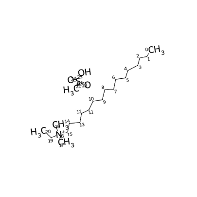 CCCCCCCCCCCCCCCC[N+](C)(C)CC.CS(=O)(=O)O